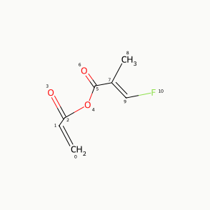 C=CC(=O)OC(=O)C(C)=CF